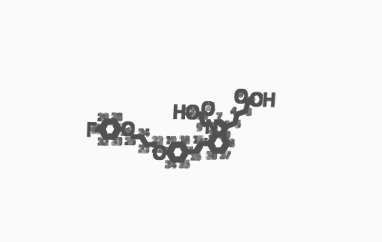 O=C(O)CCCc1cn(CC(=O)O)c2c(C=Cc3ccc(OCCCCOc4ccc(F)cc4)cc3)cccc12